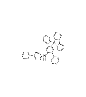 C1=CC2c3ccccc3C(c3ccccc3)(c3ccc(Nc4ccc(-c5ccccc5)cc4)c(-c4ccccc4)c3)C2C=C1